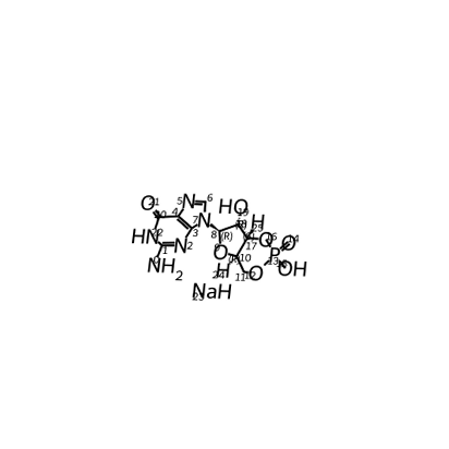 Nc1nc2c(ncn2[C@@H]2O[C@@H]3COP(=O)(O)O[C@H]3[C@H]2O)c(=O)[nH]1.[NaH]